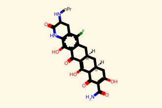 CCCNC1Cc2c(F)c3c(c(O)c2NC1=O)C(=O)C1=C(O)C2C(=O)C(C(N)=O)=C(O)C[C@@H]2C[C@@H]1C3